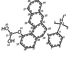 C[PH](C)(C)c1ccccc1.OB(O)Oc1cccc2ccc3cc4ccccc4cc3c12